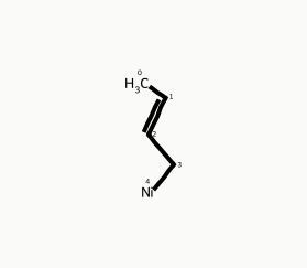 CC=C[CH2][Ni]